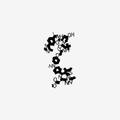 COC(=O)C[C@@H]1N=C(c2ccc(Nc3ccc(OCC(=O)NC(C(=O)N4C[C@H](O)C[C@H]4C(=O)N[C@@H](C)c4ccc(-c5scnc5C)cc4)C(C)(C)C)cc3)cc2)c2c(sc(C)c2C)-n2c(C)nnc21